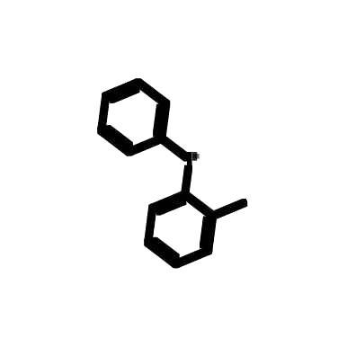 Cc1ccccc1[I+]c1ccccc1